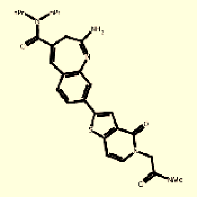 CCCN(CCC)C(=O)C1=Cc2ccc(-c3cc4c(=O)n(CC(=O)NC)ccc4s3)cc2N=C(N)C1